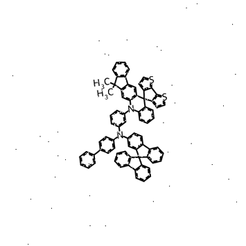 CC1(C)c2ccccc2-c2cc3c(cc21)N(c1cccc(N(c2ccc(-c4ccccc4)cc2)c2ccc4c(c2)C2(c5ccccc5-c5ccccc52)c2ccccc2-4)c1)c1ccccc1C31c2ccsc2-c2sccc21